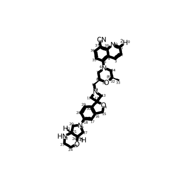 [2H]c1ccc2c(N3C[C@H](CN4CC5(C4)OCc4cc(N6C[C@H]7NCCO[C@@H]7C6)ccc45)O[C@H](C)C3)ccc(C#N)c2n1